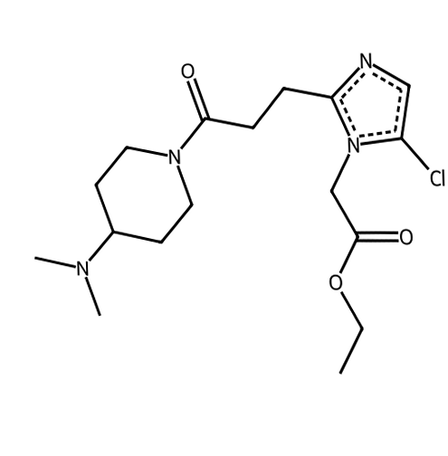 CCOC(=O)Cn1c(Cl)cnc1CCC(=O)N1CCC(N(C)C)CC1